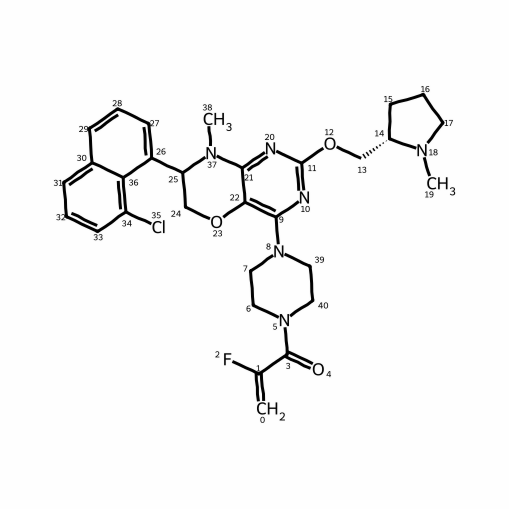 C=C(F)C(=O)N1CCN(c2nc(OC[C@@H]3CCCN3C)nc3c2OCC(c2cccc4cccc(Cl)c24)N3C)CC1